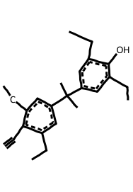 C#Cc1c(CC)cc(C(C)(C)c2cc(CC)c(O)c(CC)c2)cc1CC